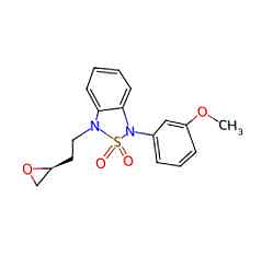 COc1cccc(N2c3ccccc3N(CC[C@H]3CO3)S2(=O)=O)c1